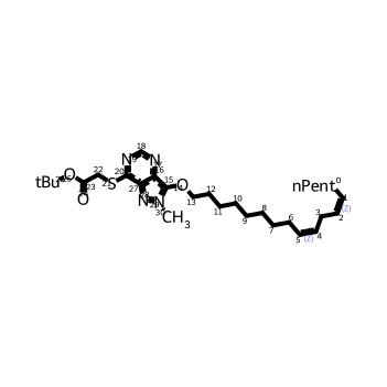 CCCCC/C=C\C/C=C\CCCCCCCCOc1c2ncnc(SCC(=O)OC(C)(C)C)c2nn1C